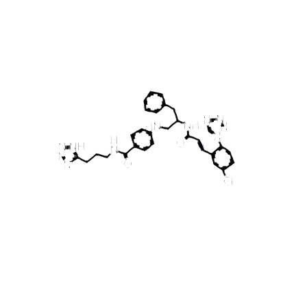 O=C(/C=C/c1cc(Cl)ccc1-n1cnnn1)NC(CNc1ccc(C(=O)NCCCc2nnn[nH]2)cc1)Cc1ccccc1